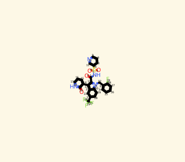 O=C(NS(=O)(=O)c1cccnc1)c1c(-c2ccc[nH]c2=O)c2cc(C(F)(F)F)ccc2n1Cc1ccccc1F